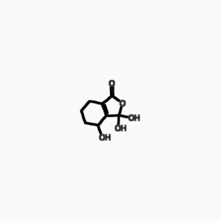 O=C1OC(O)(O)C2=C1CCCC2O